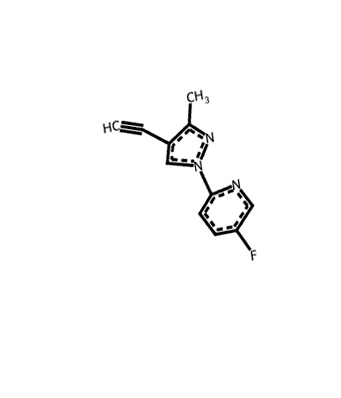 C#Cc1cn(-c2ccc(F)cn2)nc1C